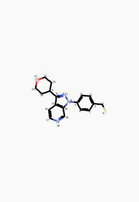 FCc1ccc(-n2nc(C3CCOCC3)c3ccncc32)cc1